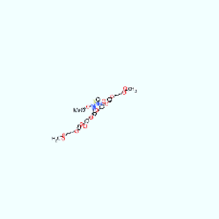 C=CC(=O)OCCCCCCOc1ccc(OC(=O)C2CCC(COc3ccc(OCC4CCC(C(=O)Oc5ccc(OCCCCCCOC(=O)C=C)cc5)CC4)c(/C=N/N(CCOCCOC)C4Nc5ccccc5S4)c3)CC2)cc1